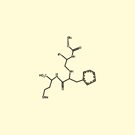 CSCCC(NC(=O)C(Cc1ccccc1)NCC(NC(=O)OC(C)(C)C)C(C)C)C(=O)O